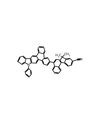 CC1(C)c2cc(C#N)ccc2-c2c1cc(-c1ccc3c(c1)c1ccccc1c1cc4c5ccccc5n(-c5ccccc5)c4cc31)c1ccccc21